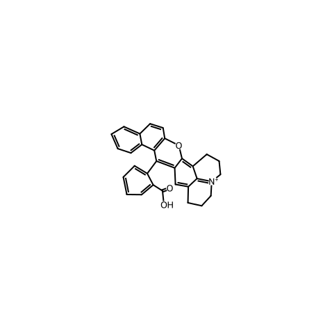 O=C(O)c1ccccc1C1=c2cc3c4c(c2Oc2ccc5ccccc5c21)CCC[N+]=4CCC3